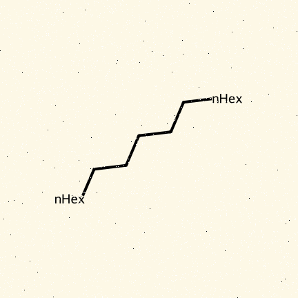 [CH2]CC[CH]CCCCCCCCCCCCC